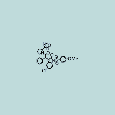 COc1ccc(S(=O)(=O)n2c(=O)n(C(C(=O)N3CCCC3c3ncon3)c3ccccc3)c3cc(Cl)ccc32)cc1